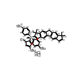 Cl.Cl.[CH2]=[Zr]([C]1=CC(C(C)(C)C)=CC1CC)([C]1=Cc2cc3c(cc2C1(C)C)Cc1cc2c(cc1-3)C=CC2(C)C)([c]1ccc(C(C)(C)C)cc1)[c]1ccc(C(C)(C)C)cc1